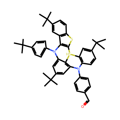 CC(C)(C)c1ccc(N2c3cc(C(C)(C)C)cc4c3[SH](c3cc(C(C)(C)C)ccc3N4c3ccc(C=O)cc3)c3sc4ccc(C(C)(C)C)cc4c32)cc1